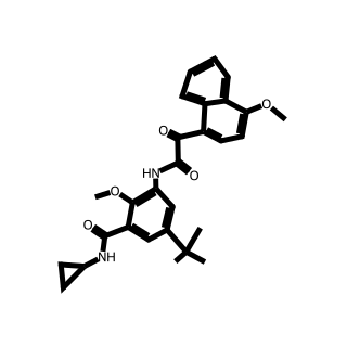 COc1c(NC(=O)C(=O)c2ccc(OC)c3ccccc23)cc(C(C)(C)C)cc1C(=O)NC1CC1